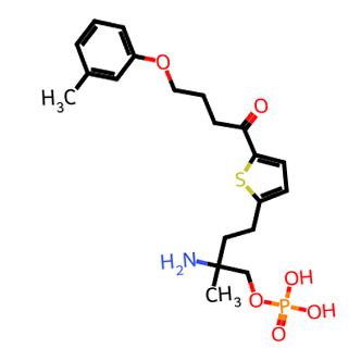 Cc1cccc(OCCCC(=O)c2ccc(CCC(C)(N)COP(=O)(O)O)s2)c1